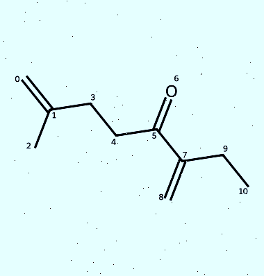 C=C(C)CCC(=O)C(=C)CC